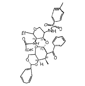 CCCCCCCCCCC(=O)N[C@H]1C(CC)OCC(NS(=O)(=O)c2ccc(C)cc2)[C@H]1O[C@H]1OC2COC(c3ccccc3)O[C@@H]2[C@H](C)C1C(=O)c1ccccc1